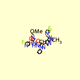 COCCN1C[C@@H](NC(=O)Nc2c(C)c(-c3cnc4c(c3)c(CN3CCC(F)(F)C3)nn4C)nn2-c2ccccc2)[C@H](c2ccnc(F)c2)O1